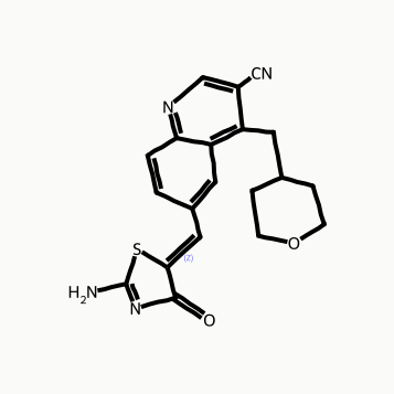 N#Cc1cnc2ccc(/C=C3\SC(N)=NC3=O)cc2c1CC1CCOCC1